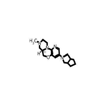 CN1CCN2c3ncc(N4CC5CCCC5C4)cc3OC[C@@H]2C1